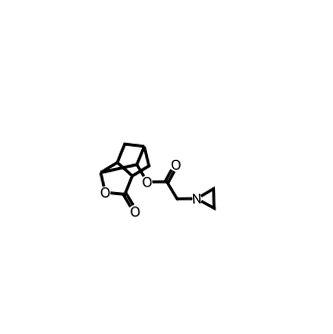 O=C(CN1CC1)OC1C2CC3C(=O)OC1C3C2